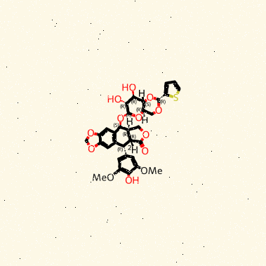 [2H][C@]12C(=O)OC[C@@H]1[C@H](O[C@@H]1O[C@@H]3CO[C@@H](c4cccs4)O[C@H]3[C@H](O)[C@H]1O)c1cc3c(cc1[C@H]2c1cc(OC)c(O)c(OC)c1)OCO3